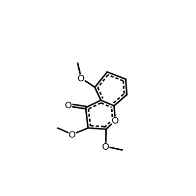 COc1oc2cccc(OC)c2c(=O)c1OC